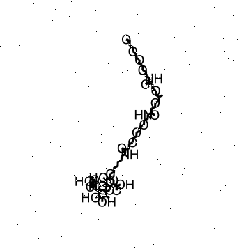 CC(COCCC(=O)NCCOCCOCCOCCC=O)COCCC(=O)NCCOCCOCCOCCC(=O)NCCCCCCOC1OC(C(=O)O)C(OC2OC(COS(=O)(=O)O)C(O)C(O)C2C)C(O)C1O